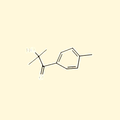 Cc1ccc(C(=O)C(C)(C)O)cc1